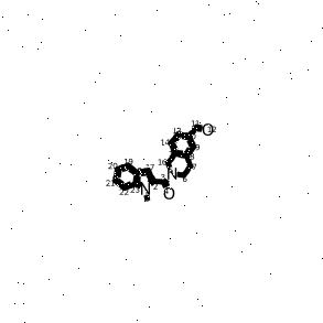 Cn1c(C(=O)N2CCc3cc(C=O)ccc3C2)cc2ccccc21